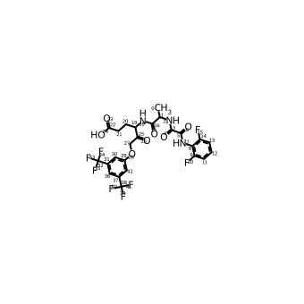 CC(NC(=O)C(=O)Nc1c(F)cccc1F)C(=O)NC(CCC(=O)O)C(=O)COc1cc(C(F)(F)F)cc(C(F)(F)F)c1